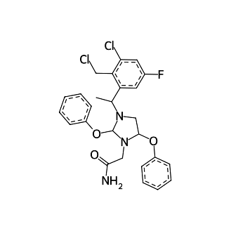 CC(c1cc(F)cc(Cl)c1CCl)N1CC(Oc2ccccc2)N(CC(N)=O)C1Oc1ccccc1